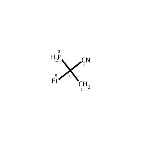 CCC(C)(P)C#N